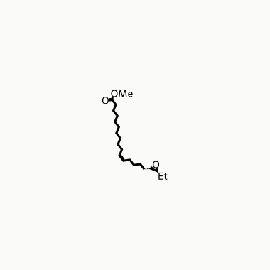 CC[C@H]1O[C@H]1CCCC/C=C\CCCCCCCCCC(=O)OC